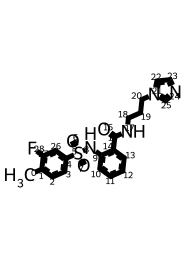 Cc1ccc(S(=O)(=O)Nc2ccccc2C(=O)NCCCn2ccnc2)cc1F